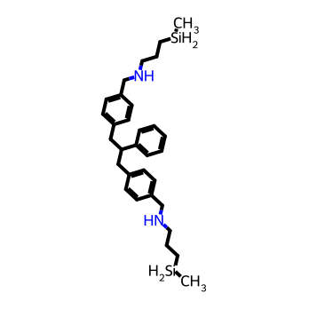 C[SiH2]CCCNCc1ccc(CC(Cc2ccc(CNCCC[SiH2]C)cc2)c2ccccc2)cc1